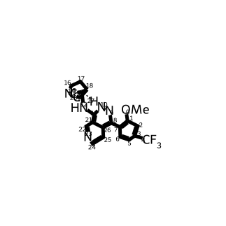 COc1cc(C(F)(F)F)ccc1-c1nnc(N[C@H]2CN3CCC2CC3)c2cnccc12